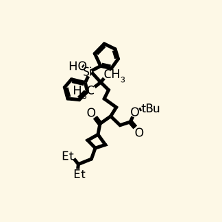 CCC(CC)CC1CC(C(=O)C(CCCC(C)(C)[Si](O)(c2ccccc2)c2ccccc2)CC(=O)OC(C)(C)C)C1